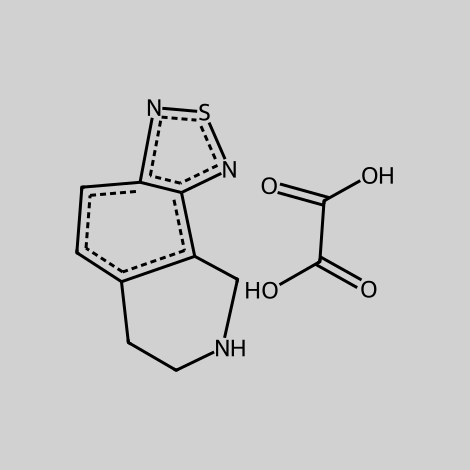 O=C(O)C(=O)O.c1cc2nsnc2c2c1CCNC2